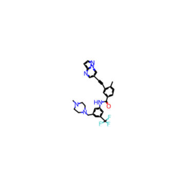 Cc1ccc(C(=O)Nc2cc(CN3CCN(C)CC3)cc(C(F)(F)F)c2)cc1C#Cc1cnc2ccnn2c1